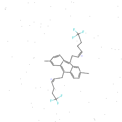 Cc1ccc2c(C/C=C\CCC(F)(F)F)c3cc(C)ccc3c(C/C=C\CCC(F)(F)F)c2c1